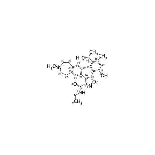 CCNC(=O)c1noc(-c2cc(C(C)C)c(C)cc2O)c1-c1ccc2c(c1)CCN(C)CC2